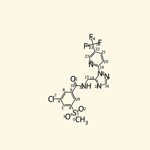 CS(=O)(=O)c1cc(Cl)cc(C(=O)NCc2ncnn2-c2ccc(C(F)(F)F)cn2)c1